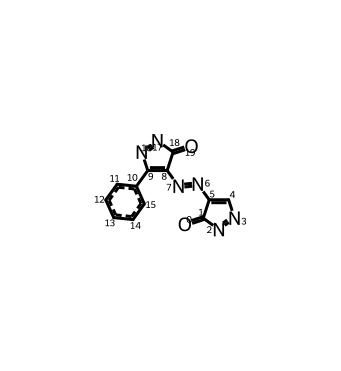 O=C1N=NC=C1N=NC1=C(c2ccccc2)N=NC1=O